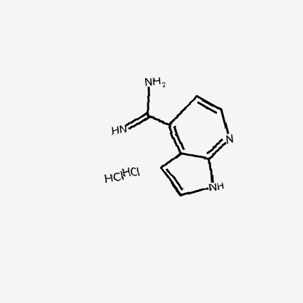 Cl.Cl.N=C(N)c1ccnc2[nH]ccc12